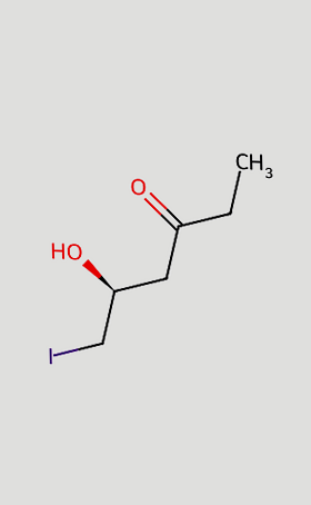 CCC(=O)C[C@H](O)CI